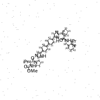 COC(=O)N[C@H](C(=O)N1CCC[C@H]1c1ncc(-c2ccc(-c3ccc(-c4cnc([C@@H]5C6CCC(C6)[C@H]5C(=O)NCc5cccnc5C(C)C)[nH]4)cc3)cc2)[nH]1)C(C)C